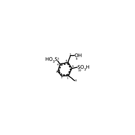 Cc1ccc(S(=O)(=O)O)c(CO)c1S(=O)(=O)O